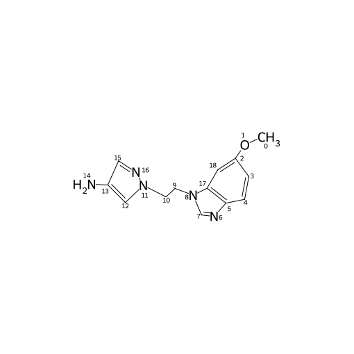 COc1ccc2ncn(CCn3cc(N)cn3)c2c1